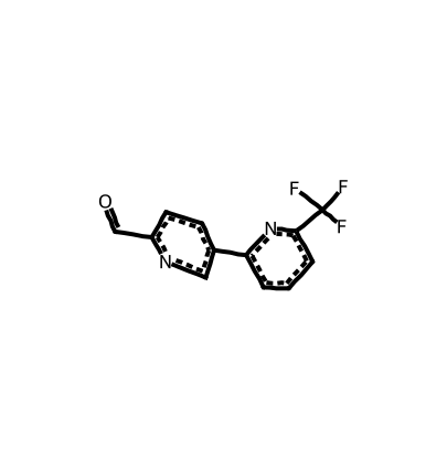 O=Cc1ccc(-c2cccc(C(F)(F)F)n2)cn1